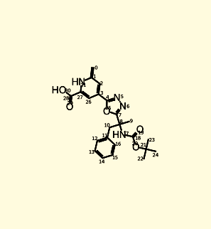 C=C1C=C(c2nnc(C(C)(Cc3ccccc3)NC(=O)OC(C)(C)C)o2)C=C(C(=O)O)N1